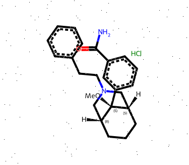 CO[C@]1(c2cccc(C(N)=O)c2)[C@@H]2CCC[C@H]1CN(CCc1ccccc1)C2.Cl